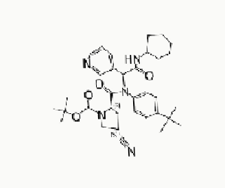 CC(C)(C)OC(=O)N1C[C@@H](C#N)C[C@@H]1C(=O)N(c1ccc(C(C)(C)C)cc1)C(C(=O)NC1CCCCC1)c1cccnc1